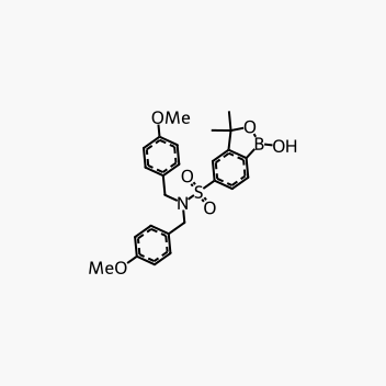 COc1ccc(CN(Cc2ccc(OC)cc2)S(=O)(=O)c2ccc3c(c2)C(C)(C)OB3O)cc1